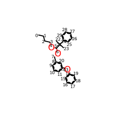 CCCCOC(OCc1cccc(Oc2ccccc2)c1)C(C)(C)c1ccccc1